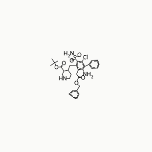 CC(C)(C)OC(=O)C1CNCCC1Cc1c(CC(=O)OCc2ccccc2)c(N)c(-c2ccccc2)c(Cl)c1S(N)(=O)=O